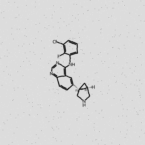 Fc1c(Cl)cccc1Nc1ncnc2ccc([C@@]34CNC[C@@H]3C4)cc12